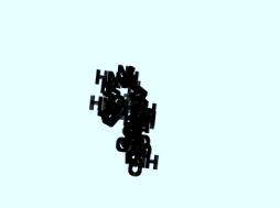 [2H]C1([2H])N(CC2CCN(c3cc(Nc4ncc(C(=O)Nc5c(C)cccc5Cl)s4)nc(C)n3)CC2)C([2H])([2H])C([2H])([2H])N(c2ccc3c(c2F)C(=O)N(C2CCC(=O)NC2=O)C3=O)C1([2H])[2H]